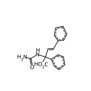 NC(=O)NC(C=Cc1ccccc1)(C(=O)O)c1ccccc1